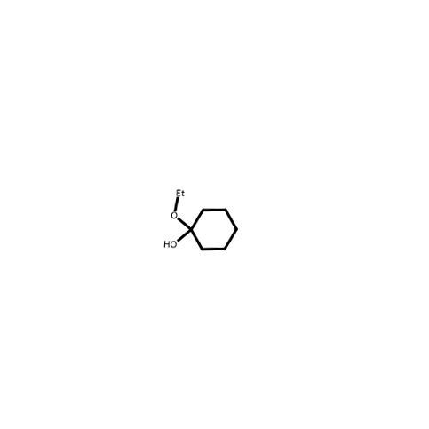 CCOC1(O)CCCCC1